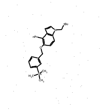 CCCc1c(OCc2ccc[c]([Sn]([CH3])([CH3])[CH3])c2)ccc2c1ccn2CC(C)(C)C